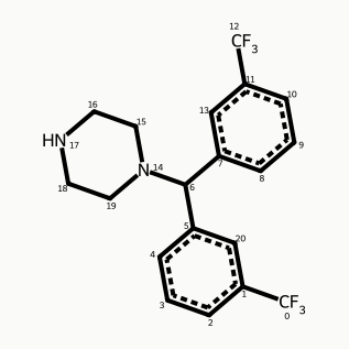 FC(F)(F)c1cccc(C(c2cccc(C(F)(F)F)c2)N2CCNCC2)c1